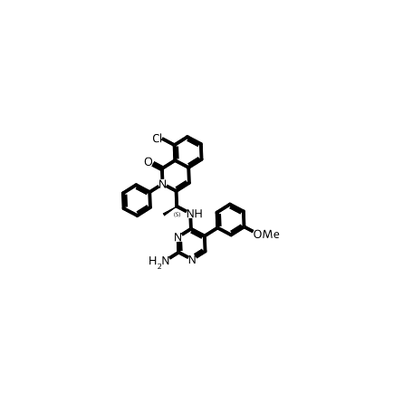 COc1cccc(-c2cnc(N)nc2N[C@@H](C)c2cc3cccc(Cl)c3c(=O)n2-c2ccccc2)c1